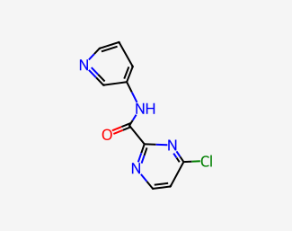 O=C(Nc1cccnc1)c1nccc(Cl)n1